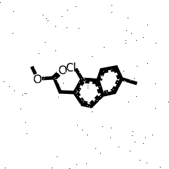 COC(=O)Cc1ccc2cc(C)ccc2c1Cl